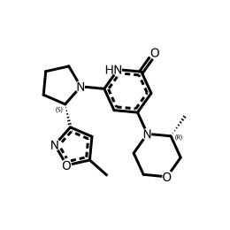 Cc1cc([C@@H]2CCCN2c2cc(N3CCOC[C@H]3C)cc(=O)[nH]2)no1